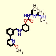 C/C=C(\N=C(/C)NC)NC(=O)OC1CCCC(NCc2cccc(-c3cccc(OC)n3)c2)C1